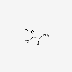 CCOC(O)[C@H](C)N